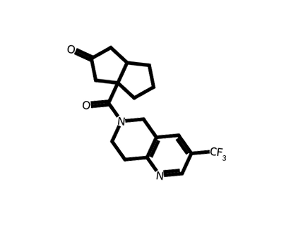 O=C1CC2CCCC2(C(=O)N2CCc3ncc(C(F)(F)F)cc3C2)C1